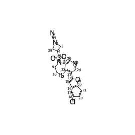 N#CN1CC(S(=O)(=O)N2CCSc3c(-c4cc5cc(Cl)ccc5o4)cncc32)C1